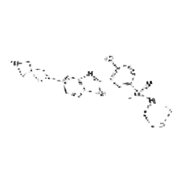 CN1CC2(C1)CN(c1ccc3[nH]c(-c4cc(S(=O)(=O)N5CCOCC5)ccc4O)nc3c1)C2